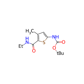 CCNC(=O)c1sc(NC(=O)OC(C)(C)C)cc1C